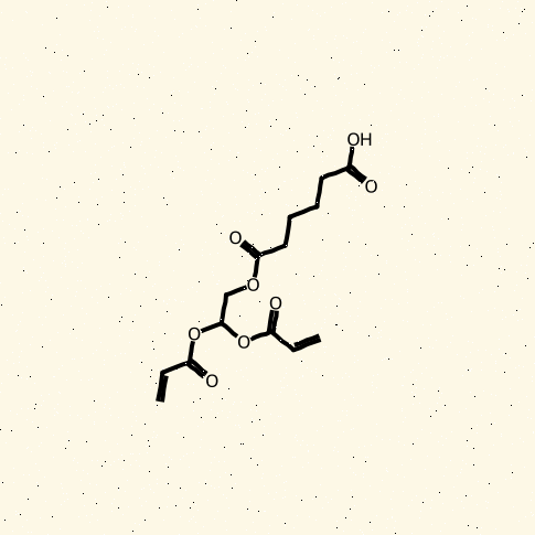 C=CC(=O)OC(COC(=O)CCCCC(=O)O)OC(=O)C=C